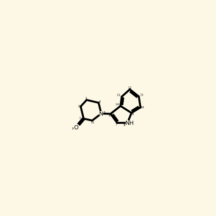 O=C1CCCN(c2c[nH]c3ccccc23)C1